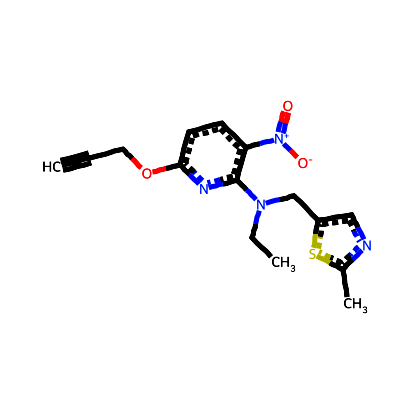 C#CCOc1ccc([N+](=O)[O-])c(N(CC)Cc2cnc(C)s2)n1